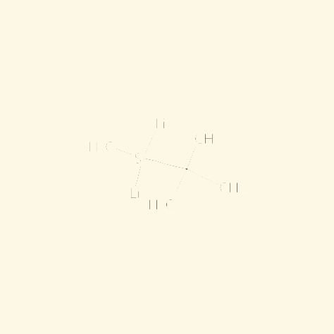 [Li][Si]([Li])(C)C(C)(C)C